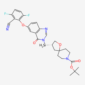 CC(C)(C)OC(=O)N1CCC2(CC1)C[C@H]([SiH2]n1cnc3ccc(Oc4c(F)ccc(F)c4C#N)cc3c1=O)CO2